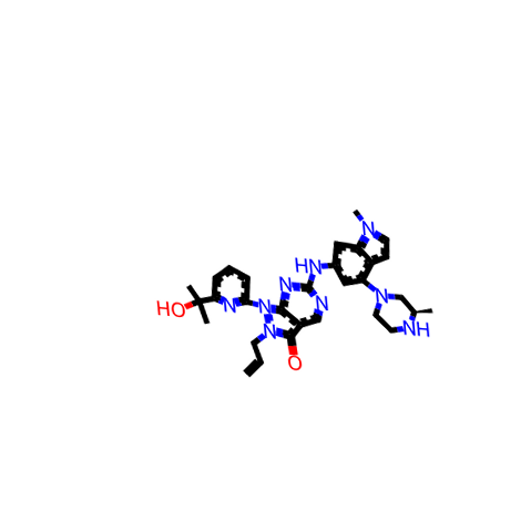 C=CCn1c(=O)c2cnc(Nc3cc(N4CCN[C@H](C)C4)c4ccn(C)c4c3)nc2n1-c1cccc(C(C)(C)O)n1